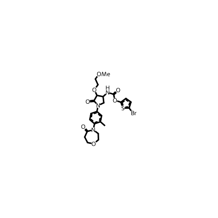 COCCOC1C(=O)N(c2ccc(N3CCOCCC3=O)c(C)c2)CC1NC(=O)Oc1ccc(Br)s1